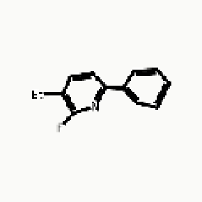 CCc1ccc(-c2ccccc2)nc1F